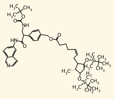 C[C@H]1C(O[Si](C)(C)C(C)(C)C)CC(O[Si](C)(C)C(C)(C)C)C1C/C=C\CCCC(=O)OCc1ccc(C(CNC(=O)OC(C)(C)C)C(=O)Nc2ccc3cnccc3c2)cc1